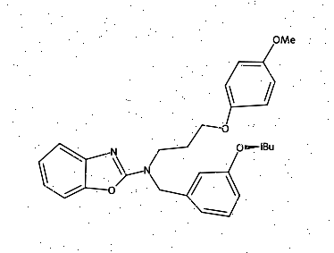 CC[C@H](C)Oc1cccc(CN(CCCOc2ccc(OC)cc2)c2nc3ccccc3o2)c1